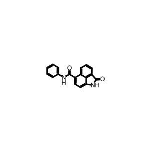 O=C(Nc1ccccc1)c1ccc2c3c(cccc13)C(=O)N2